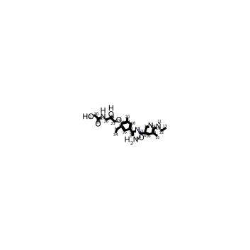 C=C(/N=C(\ON)c1cnc(N(C)CC)c(C)c1)c1cc(C)c(OC[C@@H](O)CNC(=O)CO)c(CC)c1